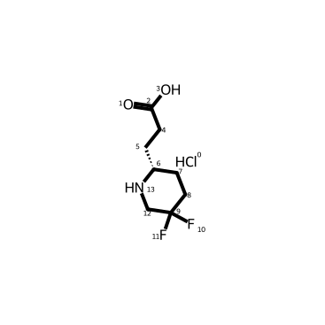 Cl.O=C(O)CC[C@@H]1CCC(F)(F)CN1